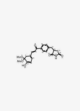 COC1(OC)CC(C=CC(=O)c2ccc(CC3SC(=O)NC3=O)cc2)=CC=C1O